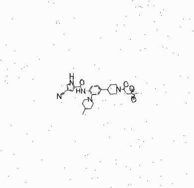 CC1CCN(c2cc(C3CCN(C(=O)CS(C)(=O)=O)CC3)ccc2NC(=O)c2cc(C#N)c[nH]2)CC1